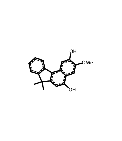 COc1cc2c(O)cc3c(c2cc1O)-c1ccccc1C3(C)C